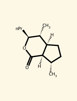 CCC[C@@H]1OC(=O)[C@H]2[C@H](CC[C@@H]2C)[C@H]1C